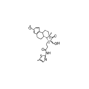 COc1ccc2c(c1)CCC1C2CC[C@]2(C)C(=O)C(=CO)[C@@H](CCC(=O)Nc3ncc(C)s3)C12